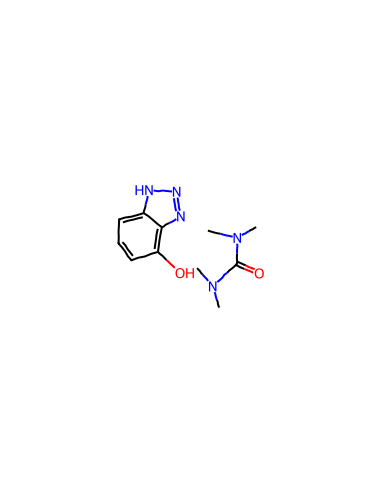 CN(C)C(=O)N(C)C.Oc1cccc2[nH]nnc12